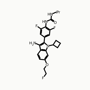 CC(C)NC(=O)Nc1c(F)cc(-c2c(N)c3ccc(OCCF)cc3n2C2CCC2)cc1F